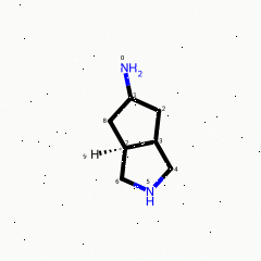 NC1CC2CNC[C@H]2C1